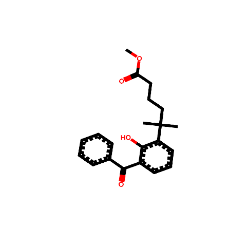 COC(=O)CCCC(C)(C)c1cccc(C(=O)c2ccccc2)c1O